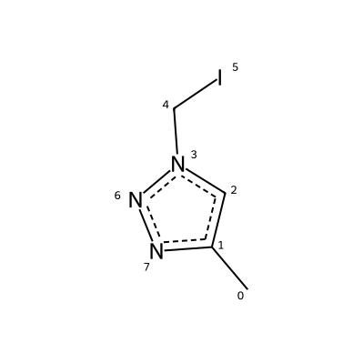 Cc1cn(CI)nn1